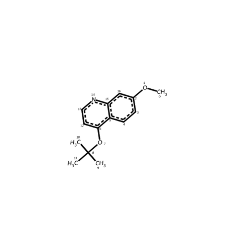 COc1ccc2c(OC(C)(C)C)ccnc2c1